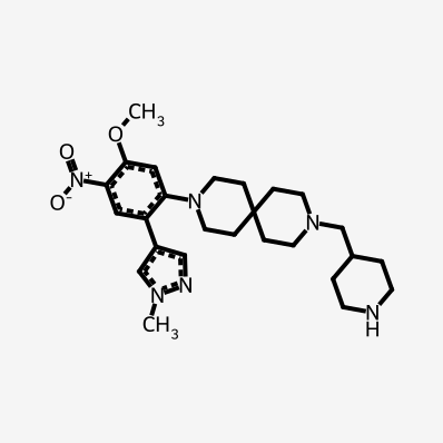 COc1cc(N2CCC3(CCN(CC4CCNCC4)CC3)CC2)c(-c2cnn(C)c2)cc1[N+](=O)[O-]